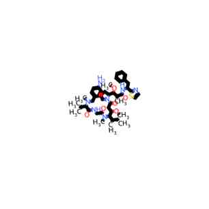 CCC(C)C(C(CC(=O)N1CCCC1C(OC)C(C)C(=O)NC(Cc1ccccc1)c1nccs1)OC)N(C)C(=O)CNC(=O)C(C(C)C)N(C)Cc1ccc(N)cc1